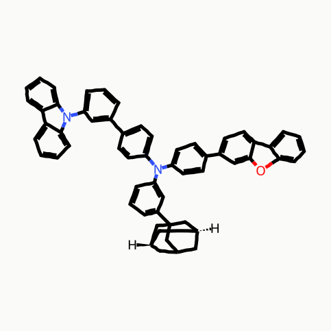 c1cc(-c2ccc(N(c3ccc(-c4ccc5c(c4)oc4ccccc45)cc3)c3cccc(C45CC6C[C@H](C4)C[C@H](C6)C5)c3)cc2)cc(-n2c3ccccc3c3ccccc32)c1